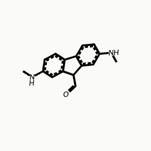 CNc1ccc2c(c1)C(C=O)c1cc(NC)ccc1-2